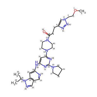 COCCn1cc(CCC(=O)N2CCN(c3cc(Nc4cc5c(cn4)cnn5C(C)C)nc(N4CCCC4)n3)CC2)nn1